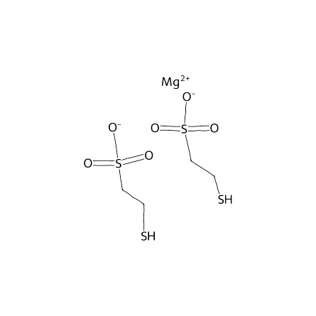 O=S(=O)([O-])CCS.O=S(=O)([O-])CCS.[Mg+2]